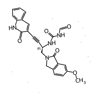 COc1ccc2c(c1)C(=O)N(C[C@@H](C#Cc1cc3ccccc3[nH]c1=O)NC(=O)NC=O)C2